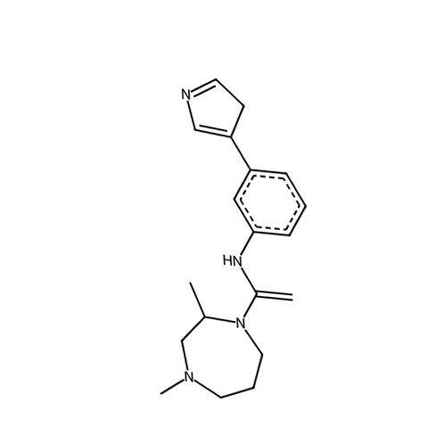 C=C(Nc1cccc(C2=CN=CC2)c1)N1CCCN(C)CC1C